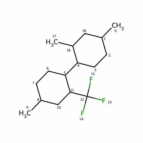 CC1CCC(C2CCC(C)CC2C(F)(F)F)C(C)C1